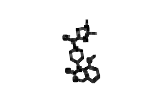 COc1cccc2c1N(C1CCN([S+]([O-])c3cn(C)c(C)n3)CC1)C(=O)OC2